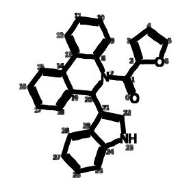 O=C(c1ccco1)N1c2ccccc2-c2ccccc2C1c1c[nH]c2ccccc12